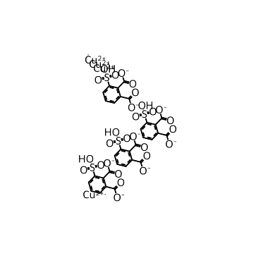 O=C([O-])c1cccc(S(=O)(=O)O)c1C(=O)[O-].O=C([O-])c1cccc(S(=O)(=O)O)c1C(=O)[O-].O=C([O-])c1cccc(S(=O)(=O)O)c1C(=O)[O-].O=C([O-])c1cccc(S(=O)(=O)O)c1C(=O)[O-].[Cu+2].[Cu+2].[Cu+2].[Cu+2]